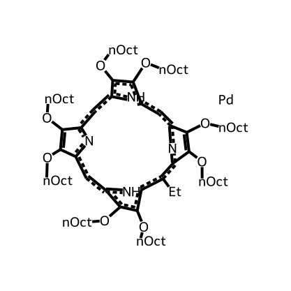 CCCCCCCCOC1=C(OCCCCCCCC)c2cc3[nH]c(c(CC)c4nc(cc5[nH]c(cc1n2)c(OCCCCCCCC)c5OCCCCCCCC)C(OCCCCCCCC)=C4OCCCCCCCC)c(OCCCCCCCC)c3OCCCCCCCC.[Pd]